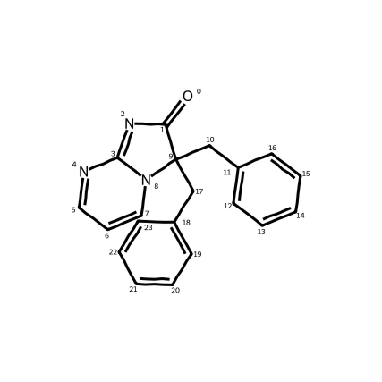 O=C1N=C2N=CC=CN2C1(Cc1ccccc1)Cc1ccccc1